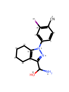 N#Cc1ccc(-n2nc(C(N)O)c3c2CCCC3)cc1I